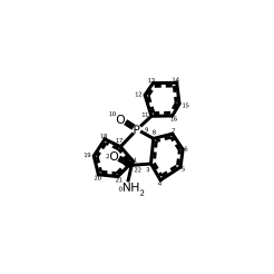 NC(=O)c1ccccc1P(=O)(c1ccccc1)c1ccccc1